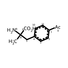 CC(=O)c1ccc(CC(C)(N)C(=O)O)cc1